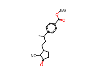 CC(CCC1CCC(=O)C1C#N)c1ccc(C(=O)OC(C)(C)C)cc1